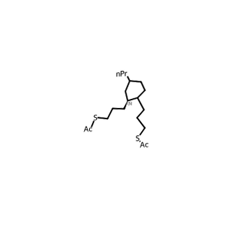 [CH2]CCC1CCC(CCCSC(C)=O)[C@@H](CCCSC(C)=O)C1